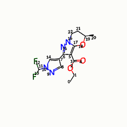 CCOC(=O)c1c(-c2cnn(C(F)F)c2)nn2c1O[C@H](C)CC2